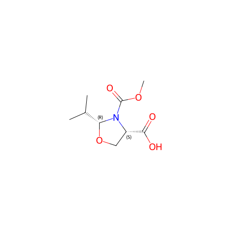 COC(=O)N1[C@@H](C(C)C)OC[C@H]1C(=O)O